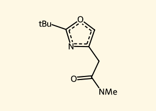 CNC(=O)Cc1coc(C(C)(C)C)n1